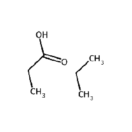 CCC.CCC(=O)O